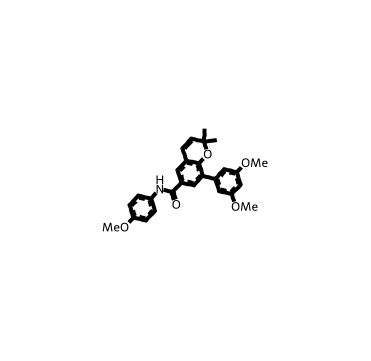 COc1ccc(NC(=O)c2cc3c(c(-c4cc(OC)cc(OC)c4)c2)OC(C)(C)C=C3)cc1